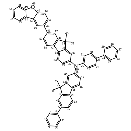 CC1(C)c2cc(-c3ccccc3)ccc2-c2ccc(N(c3ccc(-c4ccccc4)cc3)c3ccc4c(c3)C(C)(C)c3cc(-c5ccc6oc7ccccc7c6c5)ccc3-4)cc21